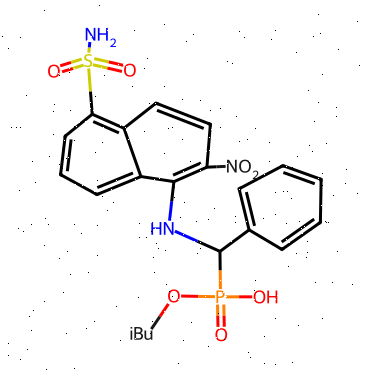 CCC(C)OP(=O)(O)C(Nc1c([N+](=O)[O-])ccc2c(S(N)(=O)=O)cccc12)c1ccccc1